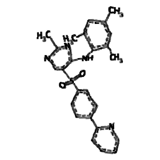 Cc1cc(C)c(Nc2nc(C)ncc2S(=O)(=O)c2ccc(-c3ccccn3)cc2)c(C)c1